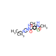 COc1cc(NC(C)=O)c(Cl)cc1C(=O)NN1CCN(CCC(C)C)CC1